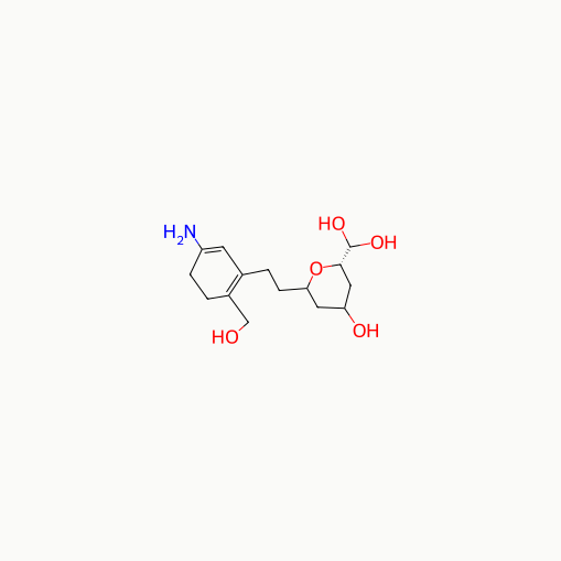 NC1=CC(CCC2CC(O)C[C@@H](C(O)O)O2)=C(CO)CC1